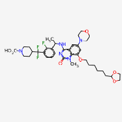 CC(Nc1nc(=O)n(C)c2c(OCCCCCCC3OCCO3)cc(N3CCOCC3)cc12)c1cccc(C(F)(F)C2CCN(C(=O)O)CC2)c1F